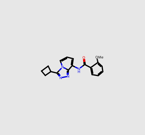 COc1ccccc1C(=O)Nc1cccn2c(C3CCC3)nnc12